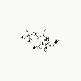 CC(COS(C)(=O)=O)NP(=O)(OC(C)C)OC(C)C